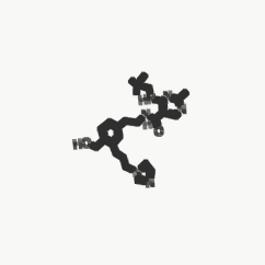 Cc1ncc(C(=O)NCCc2ccc(CO)c(CCCn3ccnc3)c2)c(NCC(C)(C)C)n1